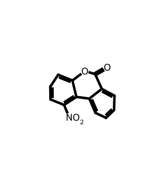 O=c1oc2cccc([N+](=O)[O-])c2c2ccccc12